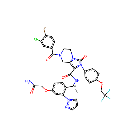 C[C@@H](NC(=O)c1c2n(c(=O)n1-c1ccc(OCC(F)(F)F)cc1)CCN(C(=O)c1ccc(Br)c(Cl)c1)C2)c1ccc(OCC(N)=O)cc1-n1cccn1